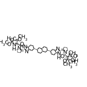 COC(=O)N[C@H](C(=O)N1CCC[C@H]1c1nc2cc(-c3ccc4cc(-c5ccc6[nH]c([C@@H]7CCCN7C(=O)[C@H]([C@@H](C)OC)N(C)C(=O)O)nc6c5)ccc4c3)ccc2[nH]1)[C@@H](C)OC